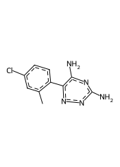 Cc1cc(Cl)ccc1-c1nnc(N)nc1N